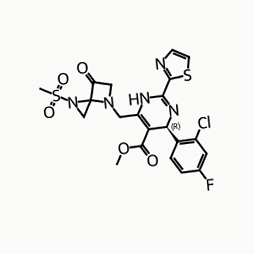 COC(=O)C1=C(CN2CC(=O)C23CN3S(C)(=O)=O)NC(c2nccs2)=N[C@H]1c1ccc(F)cc1Cl